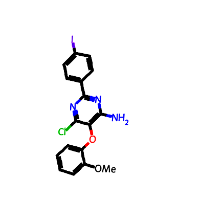 COc1ccccc1Oc1c(N)nc(-c2ccc(I)cc2)nc1Cl